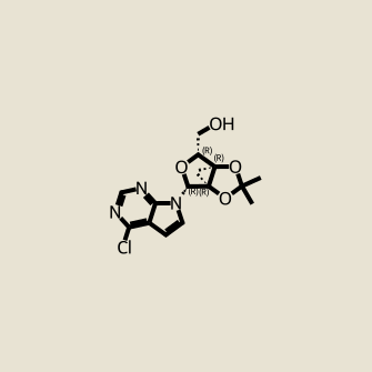 CC1(C)O[C@]23C[C@@]2(O1)[C@@H](CO)O[C@H]3n1ccc2c(Cl)ncnc21